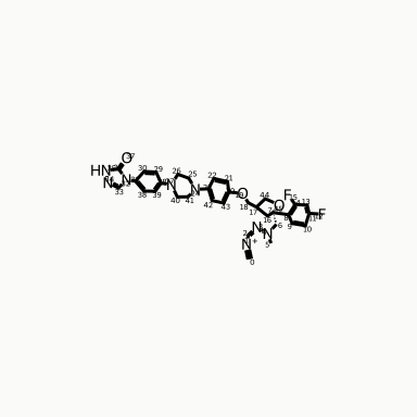 C#[N+]/C=N\N(C)C[C@]1(c2ccc(F)cc2F)CC(COc2ccc(N3CCN(c4ccc(-n5cn[nH]c5=O)cc4)CC3)cc2)CO1